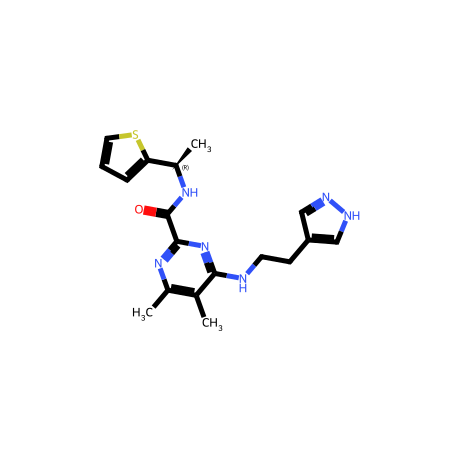 Cc1nc(C(=O)N[C@H](C)c2cccs2)nc(NCCc2cn[nH]c2)c1C